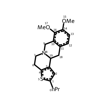 CCCc1cc2c(s1)CCN1Cc3c(ccc(OC)c3OC)CC21